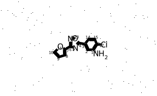 Nc1cc(-c2nc(-c3ccco3)no2)ccc1Cl